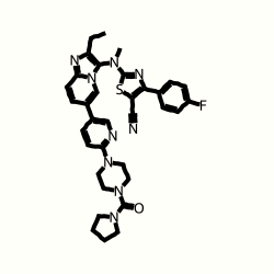 CCc1nc2ccc(-c3ccc(N4CCN(C(=O)N5CCCC5)CC4)nc3)cn2c1N(C)c1nc(-c2ccc(F)cc2)c(C#N)s1